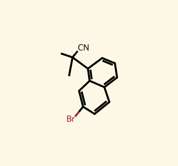 CC(C)(C#N)c1cccc2ccc(Br)cc12